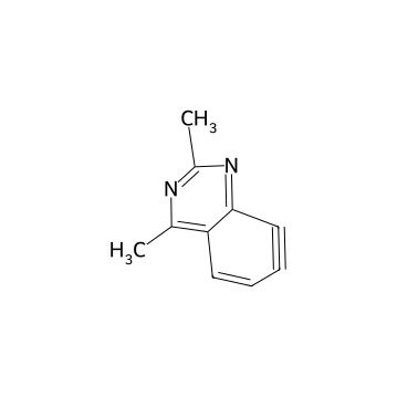 Cc1nc(C)c2ccc#cc2n1